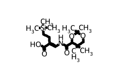 CC1(C)OCC(C)(C)C(C(=O)N/C=C(\CC[Si](C)(C)C)C(=O)O)O1